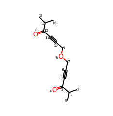 CC(C)C(=O)C#CCOCC#CC(=O)C(C)C